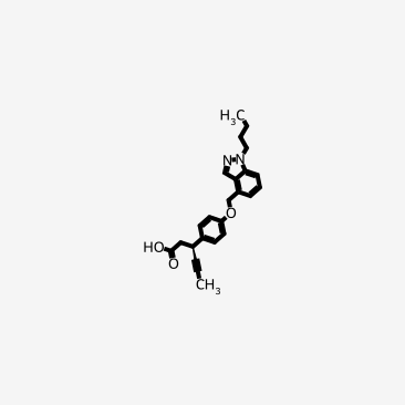 CC#C[C@@H](CC(=O)O)c1ccc(OCc2cccc3c2cnn3CCCC)cc1